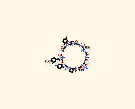 CC[C@H](C)[C@@H]1NC(=O)[C@H](C)N(C)C(=O)C[C@@H](C(=O)N(C)C)N(C)C(=O)[C@H]([C@@H](C)CC)N(C)C(=O)C2(CCCC2)NC(=O)[C@H](Cc2ccc(I)cc2)N(C)C(=O)[C@H](CCc2ccc(C(F)(F)F)c(Cl)c2)NC(=O)CN(C)C(=O)[C@H](Cc2ccc(C)cc2)N(C)C(=O)[C@@H]2CCN2C(=O)[C@H](C)N(C)C1=O